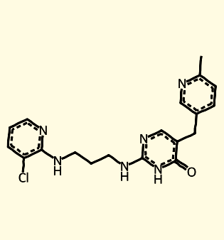 Cc1ccc(Cc2cnc(NCCCNc3ncccc3Cl)[nH]c2=O)cn1